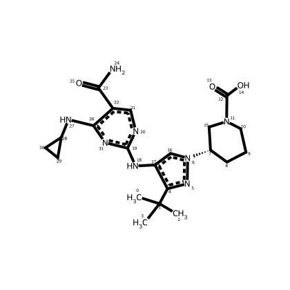 CC(C)(C)c1nn([C@H]2CCCN(C(=O)O)C2)cc1Nc1ncc(C(N)=O)c(NC2CC2)n1